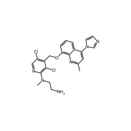 Cc1cc(-n2ccnc2)c2cccc(OCc3c(Cl)cnc(N(C)CCN)c3Cl)c2n1